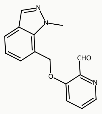 Cn1ncc2cccc(COc3cccnc3C=O)c21